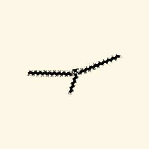 CCCCCCCCCCCCCCCCCCCN1C=CN(CCCCCCCCCCCCCCCCCCC)C1CCCCCCCC